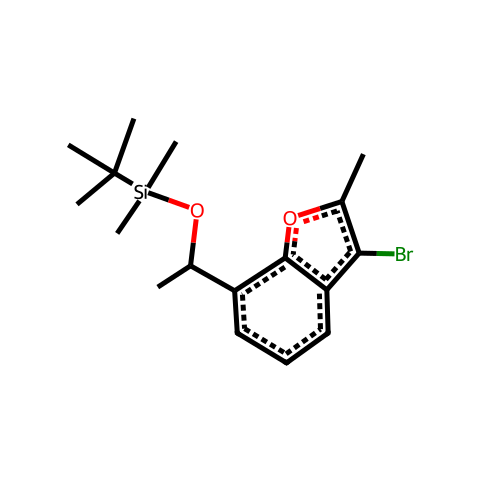 Cc1oc2c(C(C)O[Si](C)(C)C(C)(C)C)cccc2c1Br